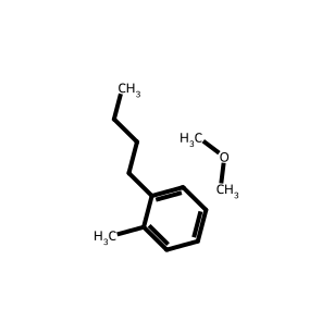 CCCCc1ccccc1C.COC